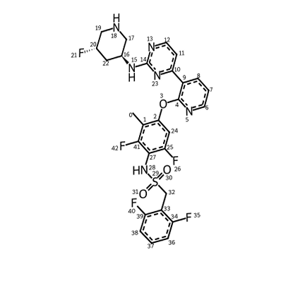 Cc1c(Oc2ncccc2-c2ccnc(N[C@@H]3CNC[C@@H](F)C3)n2)cc(F)c(NS(=O)(=O)Cc2c(F)cccc2F)c1F